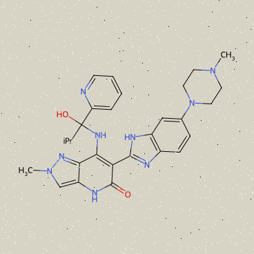 CC(C)C(O)(Nc1c(-c2nc3ccc(N4CCN(C)CC4)cc3[nH]2)c(=O)[nH]c2cn(C)nc12)c1ccccn1